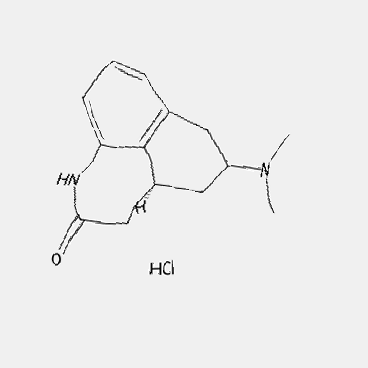 CN(C)C1Cc2cccc3c2[C@H](CC(=O)N3)C1.Cl